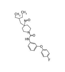 CCC(CC)CC1(N=O)CCN(C(=O)Nc2cccc(Oc3ccc(F)cc3)c2)CC1